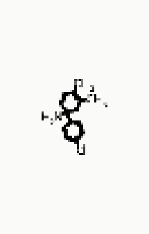 CC1=C(C)CC(N)(c2ccc(Cl)cc2)C=C1